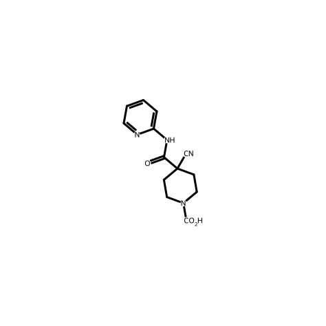 N#CC1(C(=O)Nc2ccccn2)CCN(C(=O)O)CC1